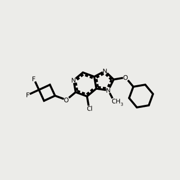 Cn1c(OC2CCCCC2)nc2cnc(OC3CC(F)(F)C3)c(Cl)c21